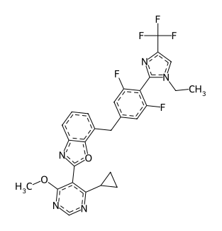 CCn1cc(C(F)(F)F)nc1-c1c(F)cc(Cc2cccc3nc(-c4c(OC)ncnc4C4CC4)oc23)cc1F